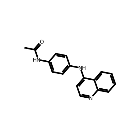 CC(=O)Nc1ccc(Nc2ccnc3ccccc23)cc1